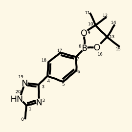 Cc1nc(-c2ccc(B3OC(C)(C)C(C)(C)O3)cc2)n[nH]1